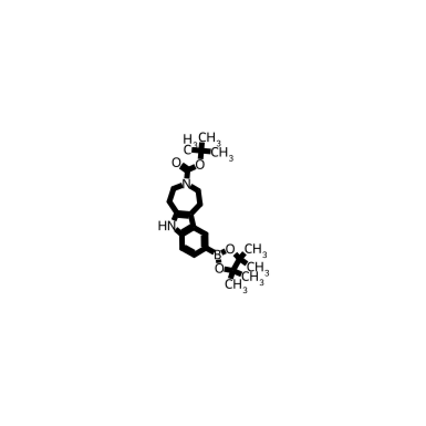 CC(C)(C)OC(=O)N1CCc2[nH]c3ccc(B4OC(C)(C)C(C)(C)O4)cc3c2CC1